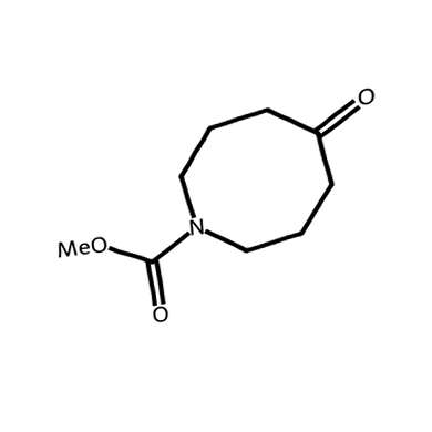 COC(=O)N1CCCC(=O)CCC1